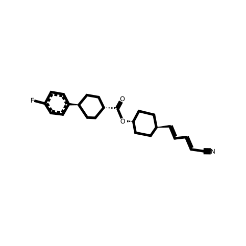 N#CC=CC=C[C@H]1CC[C@H](OC(=O)[C@H]2CC[C@H](c3ccc(F)cc3)CC2)CC1